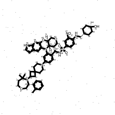 Cc1ccccc1[C@@H]1COCCC(C)(C)N1C1CC2(CCN(c3ccc(C(=O)NS(=O)(=O)c4ccc(NC[C@H]5CC[C@](C)(O)CC5)c([N+](=O)[O-])c4)c(N4c5cc6cc[nH]c6nc5O[C@H]5COCC[C@@H]54)c3)CC2)C1